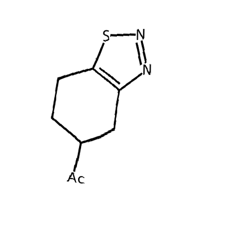 CC(=O)C1CCc2snnc2C1